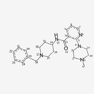 CN1CCN(c2ncccc2C(=O)NC2CCN(Cc3ccccc3)CC2)CC1